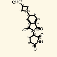 O=CC1CN(C2C=C3C(=O)N(C4CCC(=O)NC4=O)C(=O)C3=CC2)C1